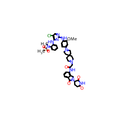 COc1cc(N2CCC3(CCN(CC(=O)Nc4cccc5c4CN(C4CCC(=O)NC4=O)C5=O)CC3)CC2)ccc1Nc1ncc(Cl)c(Nc2ccccc2N(C)S(C)(=O)=O)n1